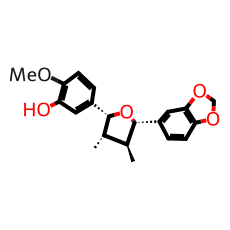 COc1ccc([C@@H]2O[C@H](c3ccc4c(c3)OCO4)[C@@H](C)[C@@H]2C)cc1O